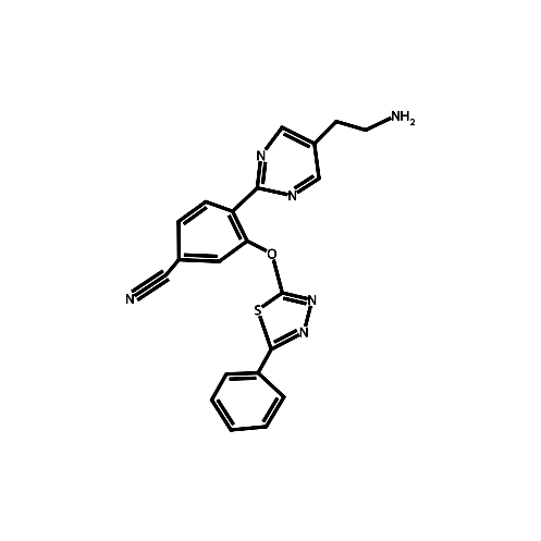 N#Cc1ccc(-c2ncc(CCN)cn2)c(Oc2nnc(-c3ccccc3)s2)c1